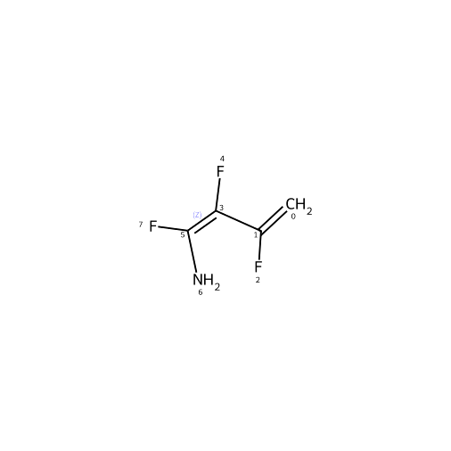 C=C(F)/C(F)=C(\N)F